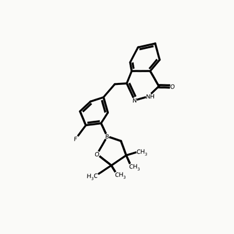 CC1(C)CB(c2cc(Cc3n[nH]c(=O)c4ccccc34)ccc2F)OC1(C)C